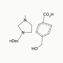 CCCCCCCCCCN1CCN(C)C1.O=C(O)c1ccc(CO)cc1